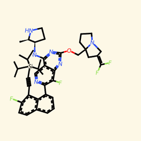 CC(C)[Si](C#Cc1c(F)ccc2cccc(-c3ncc4c(N(C)[C@@H]5CCN[C@@H]5C)nc(OCC56CCCN5CC(=C(F)F)C6)nc4c3F)c12)(C(C)C)C(C)C